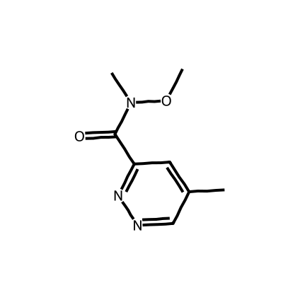 CON(C)C(=O)c1cc(C)cnn1